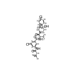 CC(C)[C@@H](NC(=O)c1cc(Cl)cc(NC(=O)CN(C)C)c1)C(=O)N1CC[C@](O)(c2ccc(Cl)cc2)C(C)(C)C1